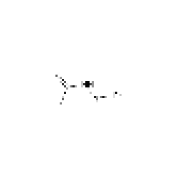 C=C(C)NNC(C)C